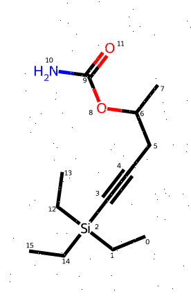 CC[Si](C#CCC(C)OC(N)=O)(CC)CC